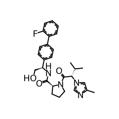 Cc1cn([C@H](C(=O)N2CCC[C@H]2C(=O)N[C@@H](CO)c2ccc(-c3ccccc3F)cc2)C(C)C)cn1